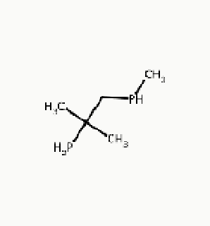 CPCC(C)(C)P